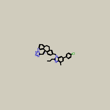 CCCc1nc2c(C)cc(-c3ccc(Cl)cc3)cc2n1Cc1ccc2c(c1)CCc1ccccc1/C2=C\c1nnn[nH]1